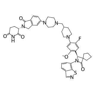 COc1cc(N2CCC(CN3CCN(c4ccc5c(c4)CN([C@H]4CCC(=O)NC4=O)C5=O)CC3)CC2)c(F)cc1[C@@H]1N(c2cccc3cnsc23)C(=O)C12CCCC2